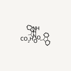 CC(c1c[nH]c2ccccc12)C(NC(=O)OCC1c2ccccc2-c2ccccc21)C(=O)O